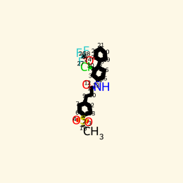 CCS(=O)(=O)c1ccc(CCC(=O)Nc2ccc(-c3ccccc3OC(F)(F)F)c(Cl)c2)cc1